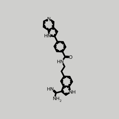 N=C(N)c1c[nH]c2ccc(CCNC(=O)c3ccc(-c4cc5cnccc5[nH]4)cc3)cc12